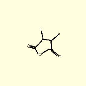 O=C1OC(=O)C(I)C1I